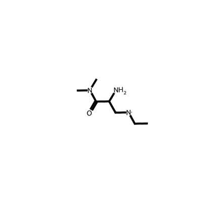 CC[N]CC(N)C(=O)N(C)C